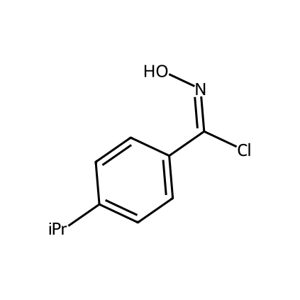 CC(C)c1ccc(/C(Cl)=N\O)cc1